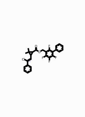 CC1(C)C(/C=C(\Cl)c2ccccc2)C1C(=O)OCc1c(F)c(F)c(F)c(-c2ccccc2)c1F